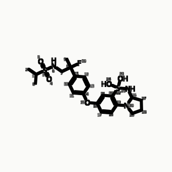 CC(C)S(=O)(=O)NCC(C)(F)c1ccc(Oc2ccc3c(c2)S(O)(O)NC2CCCN32)cc1